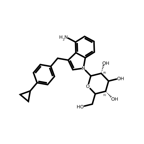 Nc1cccc2c1c(Cc1ccc(C3CC3)cc1)cn2C1OC(CO)[C@@H](O)C(O)[C@H]1O